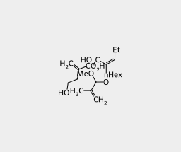 C=C(C)C(=O)OC.C=C(CCO)C(=O)O.CCC=C(CCCCCC)C(=O)O